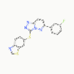 Fc1cccc(-c2ccc3nnc(Sc4ccc5ncsc5c4)n3n2)c1